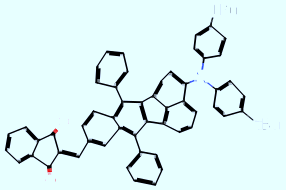 CC(C)(C)c1ccc(N(c2ccc(C(C)(C)C)cc2)c2ccc3c4c(cccc24)-c2c-3c(-c3ccccc3)c3ccc(C=C4C(=O)c5ccccc5C4=O)cc3c2-c2ccccc2)cc1